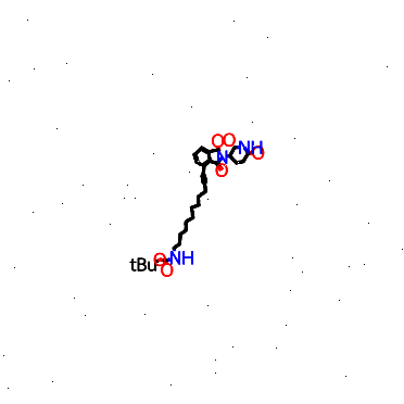 CC(C)(C)OC(=O)NCCCCCCCCCCC#Cc1cccc2c1C(=O)N(C1CCC(=O)NC1=O)C2=O